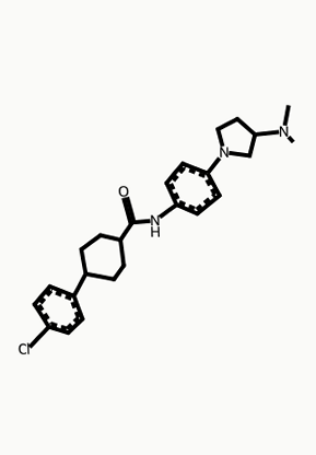 CN(C)C1CCN(c2ccc(NC(=O)C3CCC(c4ccc(Cl)cc4)CC3)cc2)C1